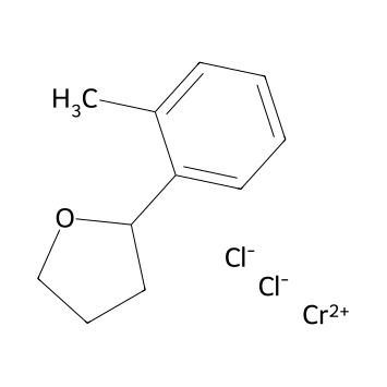 Cc1ccccc1C1CCCO1.[Cl-].[Cl-].[Cr+2]